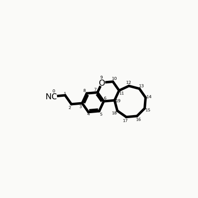 N#CCCc1ccc2c(c1)OCC1CCCCCCCC21